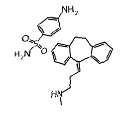 CNCCC=C1c2ccccc2CCc2ccccc21.Nc1ccc(S(N)(=O)=O)cc1